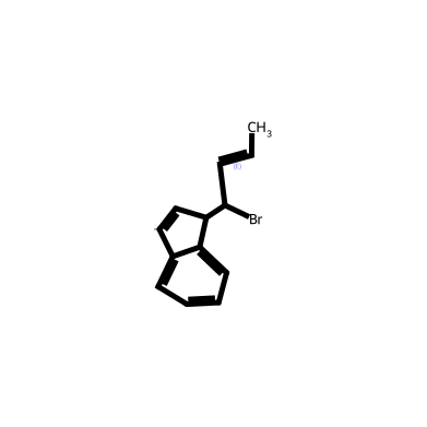 C/C=C/C(Br)C1C=[C]c2ccccc21